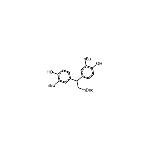 CCCCCCCCCCCC(c1ccc(O)c(CCCC)c1)c1ccc(O)c(CCCC)c1